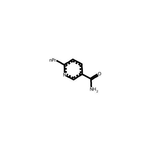 CCCc1ccc(C(N)=O)cn1